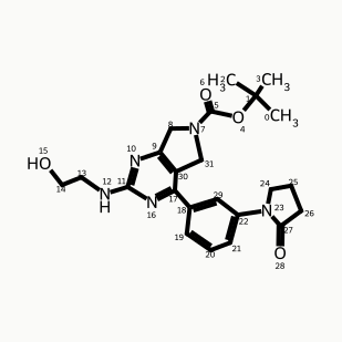 CC(C)(C)OC(=O)N1Cc2nc(NCCO)nc(-c3cccc(N4CCCC4=O)c3)c2C1